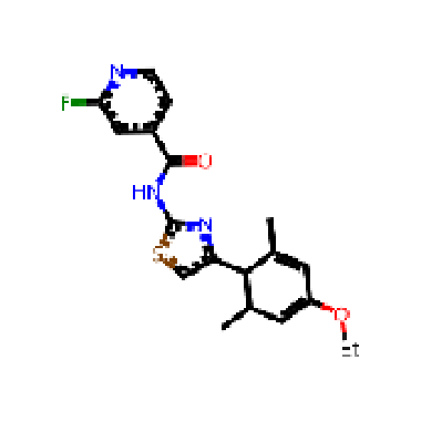 CCOC1=CC(C)C(c2csc(NC(=O)c3ccnc(F)c3)n2)C(C)=C1